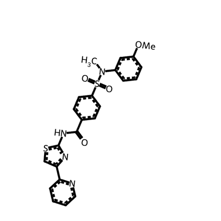 COc1cccc(N(C)S(=O)(=O)c2ccc(C(=O)Nc3nc(-c4ccccn4)cs3)cc2)c1